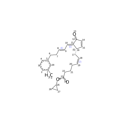 Cc1cccc(CC/C=C/C=C2/C(=O)C=C[C@@H]2C/C=C\CCCC(=O)OC2CC2)c1